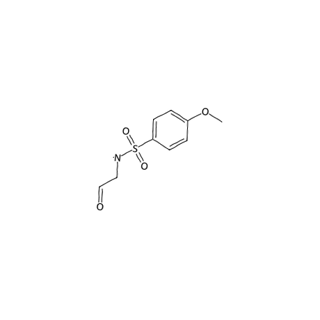 COc1ccc(S(=O)(=O)[N]CC=O)cc1